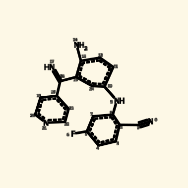 N#Cc1ccc(F)cc1Nc1ccc(N)c(C(=N)c2ccncc2)c1